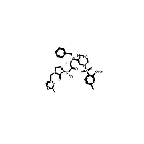 COc1cc(C)ccc1S(=O)(=O)N(CC(C)C)C[C@H](O)[C@H](Cc1ccccc1)NC(=O)[C@H](C(C)C)N1CCN(Cc2csc(C)n2)C1=O